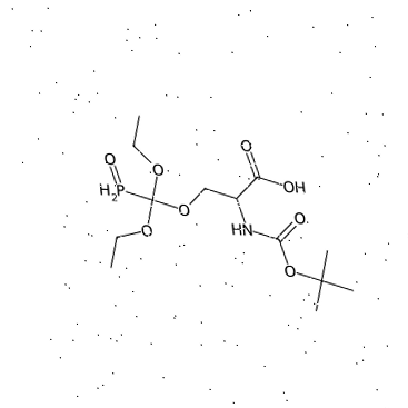 CCOC(OCC)(OCC(NC(=O)OC(C)(C)C)C(=O)O)[PH2]=O